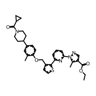 CCOC(=O)c1cnn(-c2cccc(-c3sccc3COc3ccc(C4CCN(C(=O)C5CC5)CC4)cc3C)n2)c1C